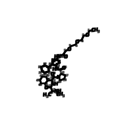 CCOCCOCCOCC(=O)Nc1nc(-c2ccccc2)c(NC(=O)[C@@H]2CCCN2C(=O)[C@@H](NC(=O)[C@H](C)NC)C2CCCCC2)s1